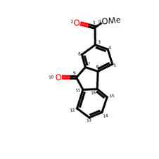 COC(=O)c1ccc2c(c1)C(=O)c1ccccc1-2